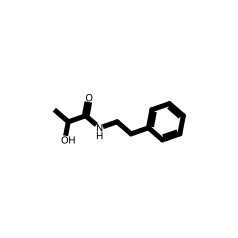 CC(O)C(=O)NCCc1ccccc1